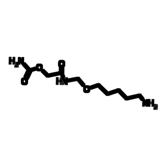 NCCCCCOCNC(=O)COC(N)=O